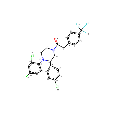 O=C(Cc1ccc(C(F)(F)F)cc1)N1CCN(c2ccc(Cl)cc2Cl)C(c2ccc(Cl)cc2)C1